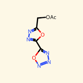 CC(=O)OCc1nnc(-c2nnno2)o1